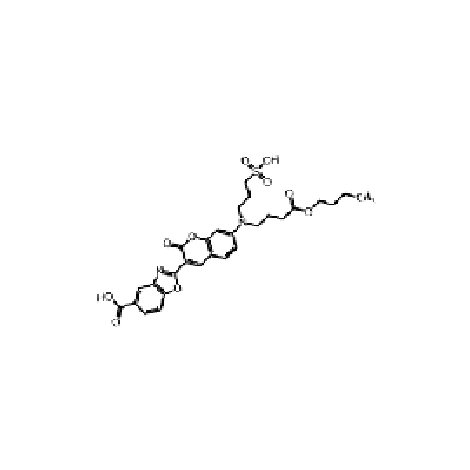 CCCCOC(=O)CCCN(CCCS(=O)(=O)O)c1ccc2cc(-c3nc4cc(C(=O)O)ccc4o3)c(=O)oc2c1